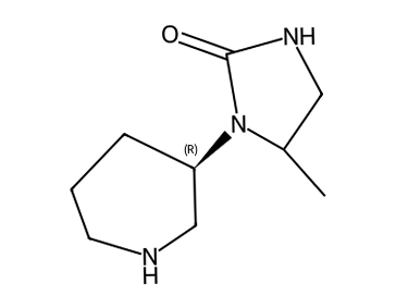 CC1CNC(=O)N1[C@@H]1CCCNC1